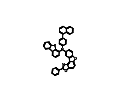 c1ccc(-c2nc3c(ccc4oc5ccc(N(c6ccc(-c7cccc8ccccc78)cc6)c6cccc7c6sc6ccccc67)cc5c43)o2)cc1